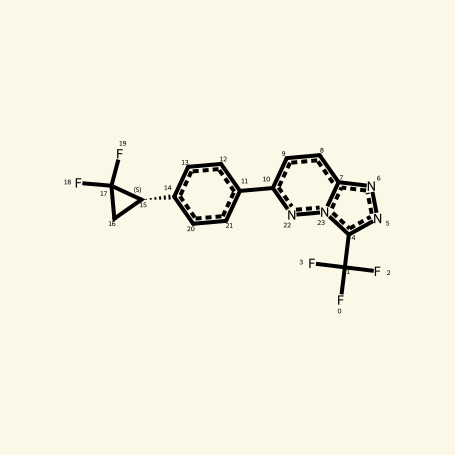 FC(F)(F)c1nnc2ccc(-c3ccc([C@@H]4CC4(F)F)cc3)nn12